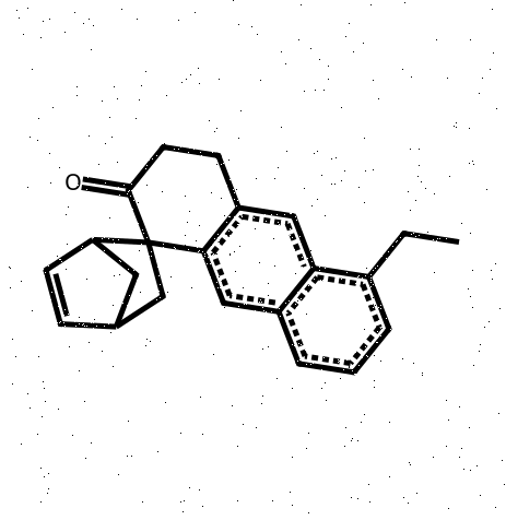 CCc1cccc2cc3c(cc12)CCC(=O)C31CC2C=CC1C2